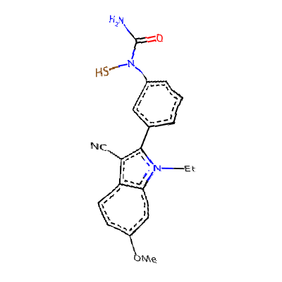 CCn1c(-c2cccc(N(S)C(N)=O)c2)c(C#N)c2ccc(OC)cc21